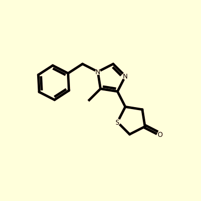 Cc1c(C2CC(=O)CS2)ncn1Cc1ccccc1